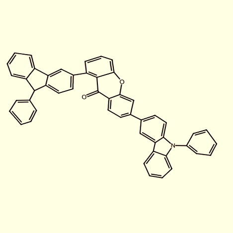 O=c1c2ccc(-c3ccc4c(c3)c3ccccc3n4-c3ccccc3)cc2oc2cccc(-c3ccc4c(c3)-c3ccccc3C4c3ccccc3)c12